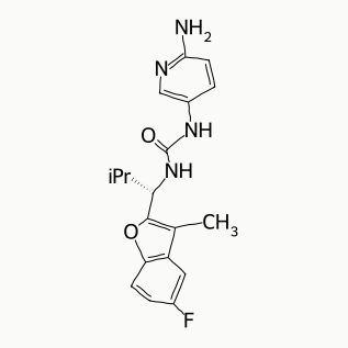 Cc1c([C@@H](NC(=O)Nc2ccc(N)nc2)C(C)C)oc2ccc(F)cc12